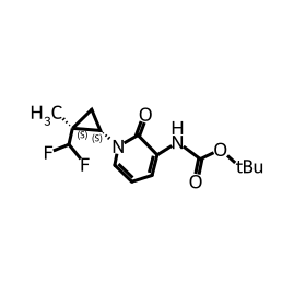 CC(C)(C)OC(=O)Nc1cccn([C@H]2C[C@]2(C)C(F)F)c1=O